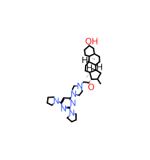 CC1C[C@H]2[C@@H]3CCC4CC(O)CC[C@]4(C)[C@H]3CC[C@]2(C)[C@H]1C(=O)CN1CCN(c2cc(N3CCCC3)nc(N3CCCC3)n2)CC1